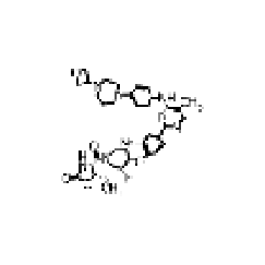 C=C[C@@H]1OC(=O)N[C@@H]1C(=O)N1CC[C@H](Oc2ccc(-c3ncc(C)c(NC4C=CC(N5CCCN(C6COC6)CC5)=CC4)n3)cc2C#N)[C@H](F)C1